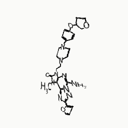 Cn1c(=O)n(CCN2CCN(c3ccc(OC4CCOC4)cc3)CC2)c2nc(N)n3nc(-c4ccco4)nc3c21